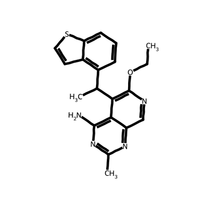 CCOc1ncc2nc(C)nc(N)c2c1C(C)c1cccc2sccc12